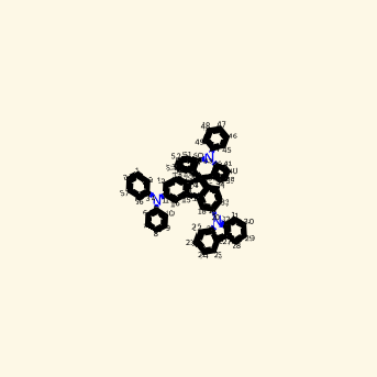 c1ccc(N(c2ccccc2)c2ccc3c(c2)-c2cc(-n4c5ccccc5c5ccccc54)ccc2C32c3ccccc3N(c3ccccc3)c3ccccc32)cc1